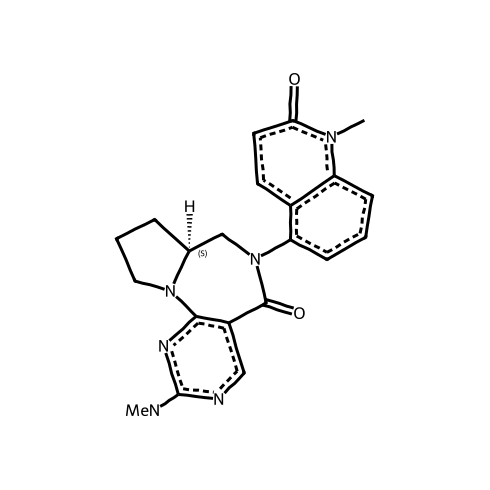 CNc1ncc2c(n1)N1CCC[C@H]1CN(c1cccc3c1ccc(=O)n3C)C2=O